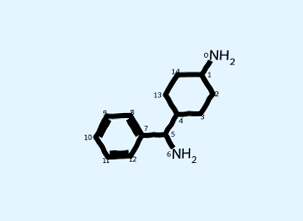 NC1CCC(C(N)c2ccccc2)CC1